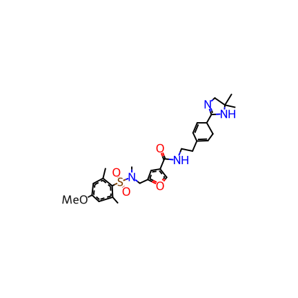 COc1cc(C)c(S(=O)(=O)N(C)Cc2cc(C(=O)NCCC3=CCC(C4=NCC(C)(C)N4)C=C3)co2)c(C)c1